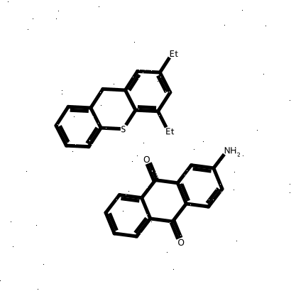 CCc1cc(CC)c2c(c1)Cc1ccccc1S2.Nc1ccc2c(c1)C(=O)c1ccccc1C2=O